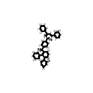 c1ccc(-c2cc(-c3ccccc3)nc(-c3ccc(-c4nc5ccccc5c5c4ccc4sc6ccccc6c45)cc3)n2)cc1